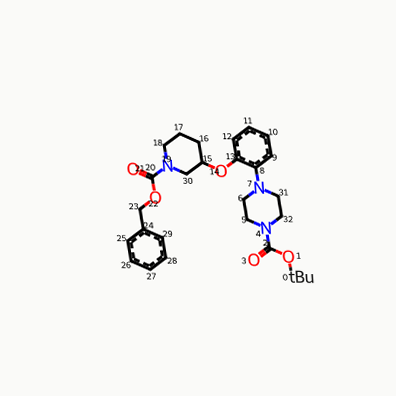 CC(C)(C)OC(=O)N1CCN(c2ccccc2OC2CCCN(C(=O)OCc3ccccc3)C2)CC1